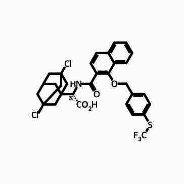 O=C(N[C@H](C(=O)O)C12CC3CC(Cl)(CC(Cl)(C3)C1)C2)c1ccc2ccccc2c1OCc1ccc(SC(F)(F)F)cc1